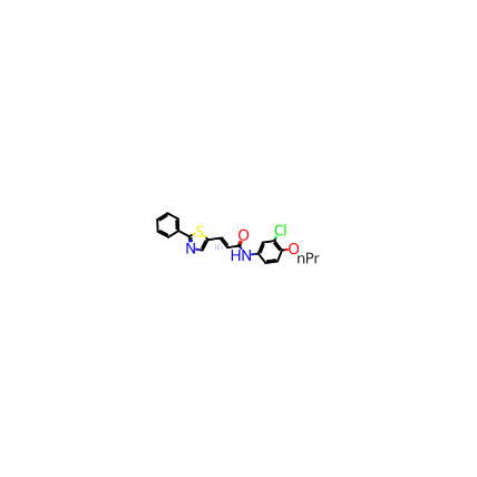 CCCOc1ccc(NC(=O)/C=C/c2cnc(-c3ccccc3)s2)cc1Cl